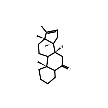 C[C@]12CCCCC1C(=O)C[C@@H]1C2CC[C@]2(C)C(I)=CC[C@@H]12